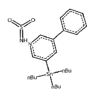 CCC[CH2][Sn]([CH2]CCC)([CH2]CCC)[c]1cncc(-c2ccccc2)c1.N=S(=O)=O